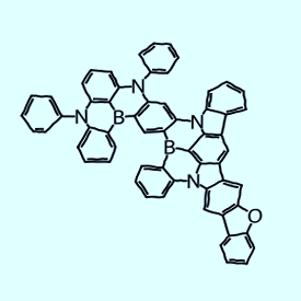 c1ccc(N2c3ccccc3B3c4cc5c(cc4N(c4ccccc4)c4cccc2c43)-n2c3ccccc3c3cc4c6cc7oc8ccccc8c7cc6n6c4c(c32)B5c2ccccc2-6)cc1